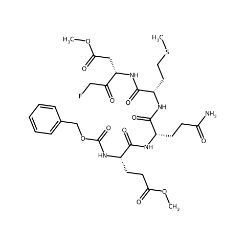 COC(=O)CC[C@H](NC(=O)OCc1ccccc1)C(=O)N[C@@H](CCC(N)=O)C(=O)N[C@@H](CCSC)C(=O)N[C@@H](CC(=O)OC)C(=O)CF